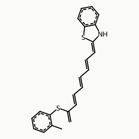 C=C(/C=C/C=C/C=C/C=C1/Nc2ccccc2S1)Sc1ccccc1C